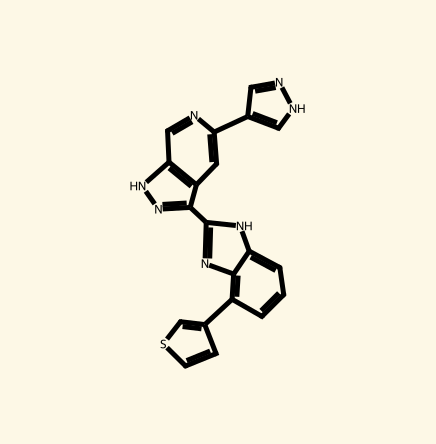 c1cc(-c2ccsc2)c2nc(-c3n[nH]c4cnc(-c5cn[nH]c5)cc34)[nH]c2c1